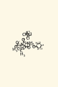 CC1(C)S[C@@H]2[C@H](NC(=O)COc3ccccc3)C(=O)N2[C@H]1C(=O)[O-].ClC(Cl)Cl.[K+]